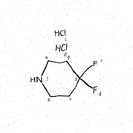 Cl.Cl.FC1(F)CCNCC1